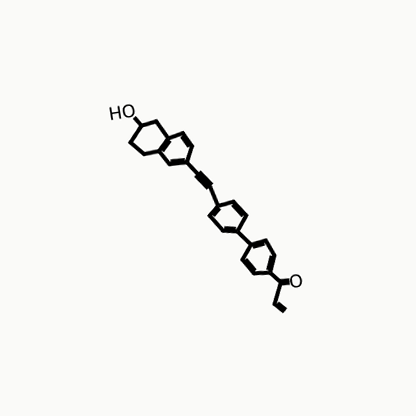 C=CC(=O)c1ccc(-c2ccc(C#Cc3ccc4c(c3)CCC(O)C4)cc2)cc1